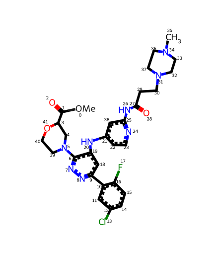 COC(=O)C1CN(c2nnc(-c3cc(Cl)ccc3F)cc2Nc2ccnc(NC(=O)CCN3CCN(C)CC3)c2)CCO1